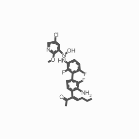 CCC/C=C(/C(C)=O)c1ccc(-c2c(F)ccc(NN(O)c3cc(Cl)cnc3OC)c2F)c(F)c1N